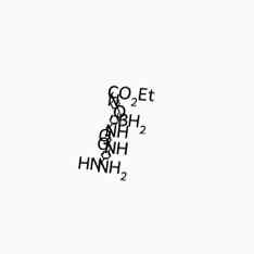 Bc1cc(C(C)NC(=O)CC(=O)Nc2ccc(C(=N)N)cc2)ccc1OC1CCN(CC(=O)OCC)CC1